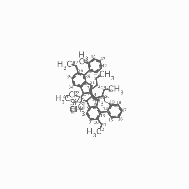 CCCCC1=Cc2c(ccc(CC)c2-c2ccccc2C)[CH]1[Zr]([Cl])([Cl])([CH]1C(CCCC)=Cc2c1ccc(CC)c2-c1ccccc1C)[SiH](C)C